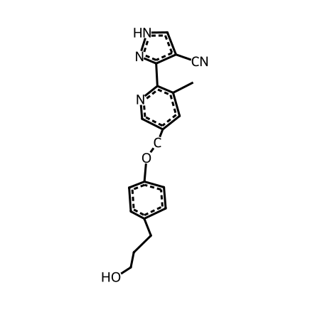 Cc1cc(COc2ccc(CCCO)cc2)cnc1-c1n[nH]cc1C#N